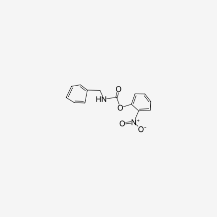 O=C(NCc1ccccc1)Oc1ccccc1[N+](=O)[O-]